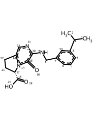 CC(C)c1cccc(CNc2ncc3n(c2=O)[C@H](C(=O)O)CC3)c1